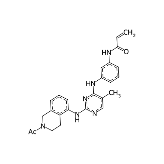 C=CC(=O)Nc1cccc(Nc2nc(Nc3cccc4c3CCN(C(C)=O)C4)ncc2C)c1